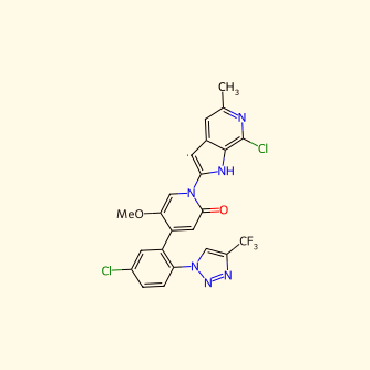 COc1cn(-c2[c]c3cc(C)nc(Cl)c3[nH]2)c(=O)cc1-c1cc(Cl)ccc1-n1cc(C(F)(F)F)nn1